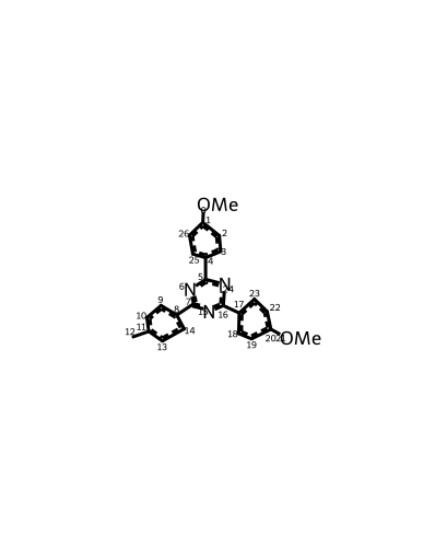 COc1ccc(-c2nc(-c3ccc(C)cc3)nc(-c3ccc(OC)cc3)n2)cc1